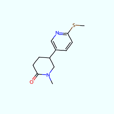 CSc1ccc(C2CCC(=O)N(C)C2)cn1